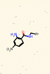 CC(C)CNC(=O)c1ccc([N+](=O)[O-])cc1N